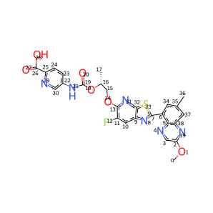 COc1cnc2c(-c3nc4cc(F)c(OC[C@@H](C)OC(=O)Nc5ccc(C(=O)O)nc5)nc4s3)cc(C)cc2n1